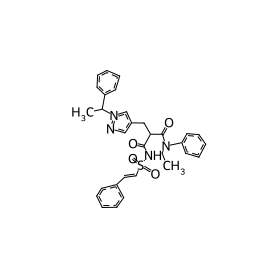 CCN(C(=O)C(Cc1cnn(C(C)c2ccccc2)c1)C(=O)NS(=O)(=O)/C=C/c1ccccc1)c1ccccc1